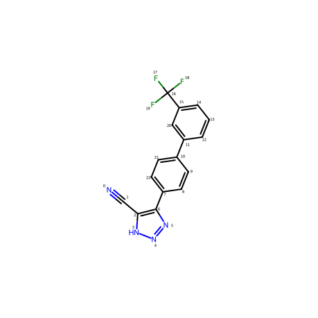 N#Cc1[nH]nnc1-c1ccc(-c2cccc(C(F)(F)F)c2)cc1